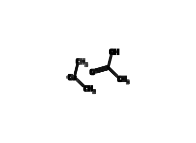 CC(=O)O.[CH3][Ga][CH3]